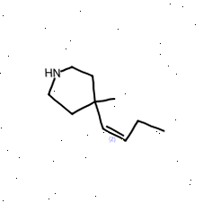 CC/C=C\C1(C)CCNCC1